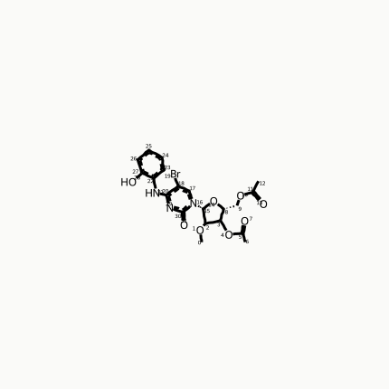 COC1C(OC(C)=O)[C@@H](COC(C)=O)O[C@H]1n1cc(Br)c(Nc2ccccc2O)nc1=O